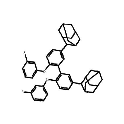 Fc1cccc(Oc2ccc(C3C4CC5CC(C4)CC3C5)cc2-c2cc(C3C4CC5CC(C4)CC3C5)ccc2Oc2cccc(F)c2)c1